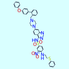 O=[N+]([O-])c1cc(S(=O)(=O)Nc2ncnc3cc(N4CCN(Cc5ccccc5-c5ccc(Oc6ccccc6)cc5)CC4)ccc23)ccc1NCCSc1ccccc1